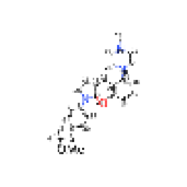 COC(C)(C)Cc1ccc(N2CCC(Cc3ccccc3N3CCN(C)CC3)C2=O)cc1